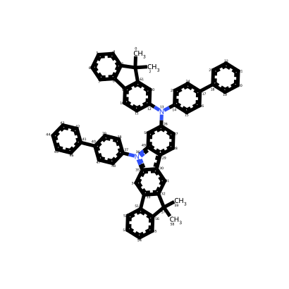 CC1(C)c2ccccc2-c2ccc(N(c3ccc(-c4ccccc4)cc3)c3ccc4c5cc6c(cc5n(-c5ccc(-c7ccccc7)cc5)c4c3)-c3ccccc3C6(C)C)cc21